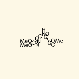 COc1cc2ncnc(Oc3ccc(NC(=O)OCCCOc4ccccc4OC)cc3)c2cc1OC